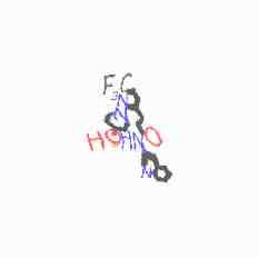 O=C(CCc1ccc(C(F)(F)F)nc1N1CCC(O)CC1)Nc1cnc2ccccc2c1